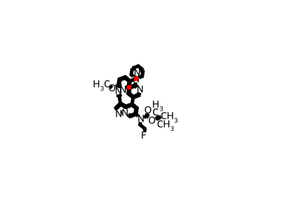 COc1ccc(CN2C3CC2CN(c2ccc(-c4cc(N(CCF)C(=O)OC(C)(C)C)cn5ncc(C#N)c45)cn2)C3)cn1